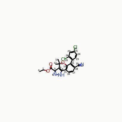 CCOC(=O)c1n[nH]c2c1C(C)(C)Oc1c-2ccc(C#N)c1-c1ccc(Cl)cc1Cl